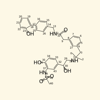 CC(C)(Cc1cccc(CC(=O)NCc2ccc(-c3ccccc3O)cc2)c1)NC[C@@H](O)c1ccc(O)c(NS(C)(=O)=O)c1